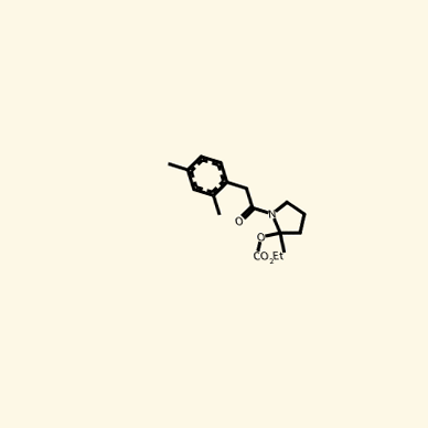 CCOC(=O)OC1(C)CCCN1C(=O)Cc1ccc(C)cc1C